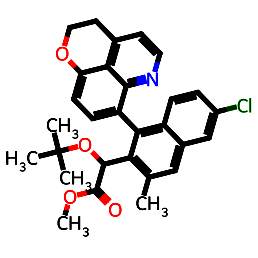 COC(=O)C(OC(C)(C)C)c1c(C)cc2cc(Cl)ccc2c1-c1ccc2c3c(ccnc13)CCO2